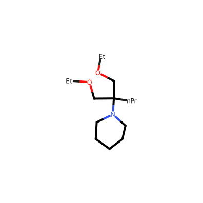 CCCC(COCC)(COCC)N1CCCCC1